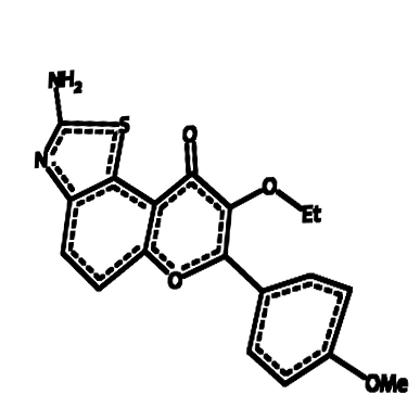 CCOc1c(-c2ccc(OC)cc2)oc2ccc3nc(N)sc3c2c1=O